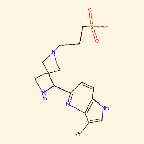 CC(C)c1c[nH]c2ccc(C3NCC34CN(CCCS(C)(=O)=O)C4)nc12